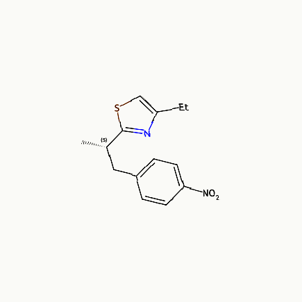 CCc1csc([C@@H](C)Cc2ccc([N+](=O)[O-])cc2)n1